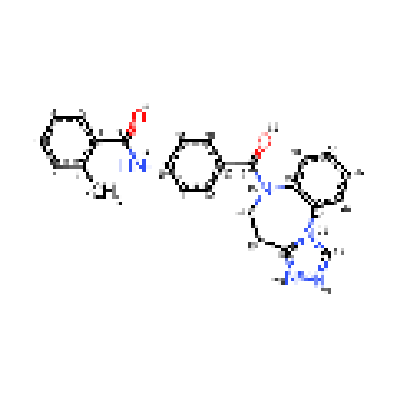 Cc1ccccc1C(=O)Nc1ccc(C(=O)N2CCc3nncn3-c3ccccc32)cc1